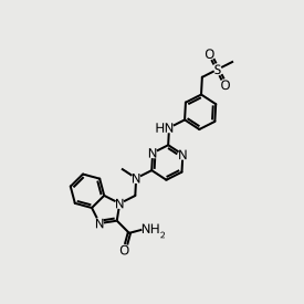 CN(Cn1c(C(N)=O)nc2ccccc21)c1ccnc(Nc2cccc(CS(C)(=O)=O)c2)n1